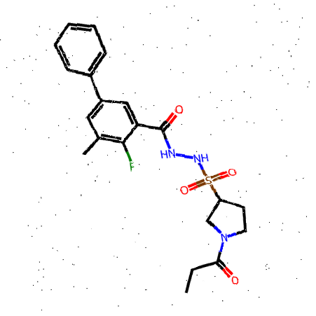 CCC(=O)N1CCC(S(=O)(=O)NNC(=O)c2cc(-c3ccccc3)cc(C)c2F)C1